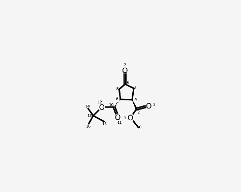 COC(=O)[C@@H]1CC(=O)C[C@H]1C(=O)OC(C)(C)C